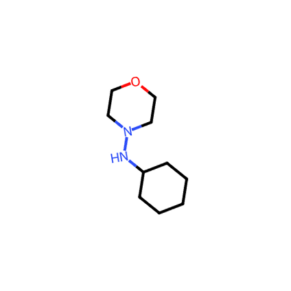 C1CCC(NN2CCOCC2)CC1